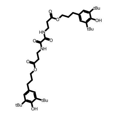 CC(C)(C)c1cc(CCCOC(=O)CCNC(=O)C(=O)NCCC(=O)OCCCc2cc(C(C)(C)C)c(O)c(C(C)(C)C)c2)cc(C(C)(C)C)c1O